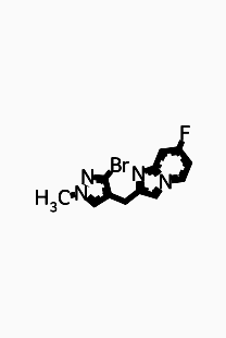 Cn1cc(Cc2cn3ccc(F)cc3n2)c(Br)n1